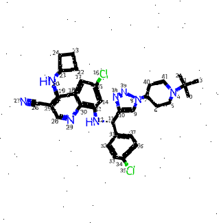 CC(C)(C)N1CCC(n2cc([C@@H](Nc3cc(Cl)cc4c(NC5CCC5)c(C#N)cnc34)c3ccc(Cl)cc3)nn2)CC1